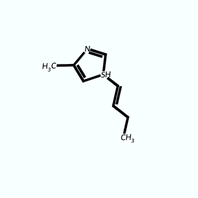 CCC=C[SH]1C=NC(C)=C1